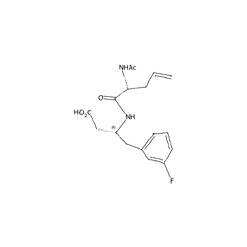 C=CCC(NC(C)=O)C(=O)N[C@@H](CC(=O)O)Cc1cccc(F)c1